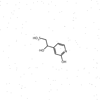 O=S(=O)(O)CC(O)c1ccnc(O)c1